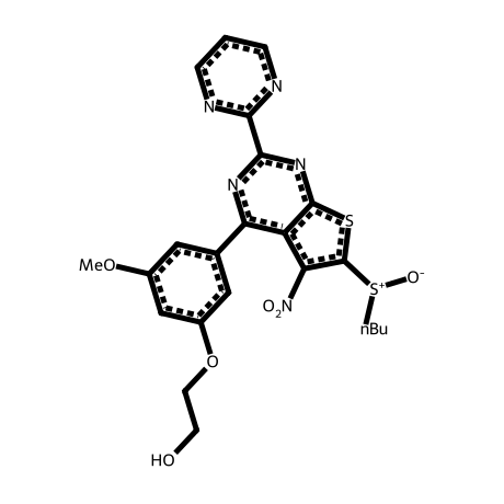 CCCC[S+]([O-])c1sc2nc(-c3ncccn3)nc(-c3cc(OC)cc(OCCO)c3)c2c1[N+](=O)[O-]